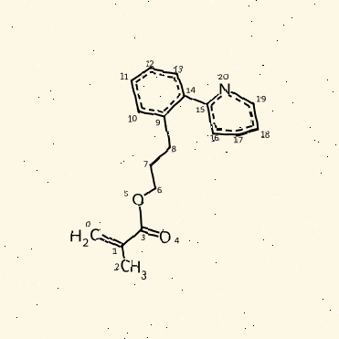 C=C(C)C(=O)OCCCc1ccccc1-c1ccccn1